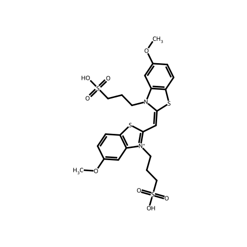 COc1ccc2c(c1)N(CCCS(=O)(=O)O)C(=Cc1sc3ccc(OC)cc3[n+]1CCCS(=O)(=O)O)S2